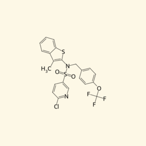 Cc1c(N(Cc2ccc(OC(F)(F)F)cc2)S(=O)(=O)c2ccc(Cl)nc2)sc2ccccc12